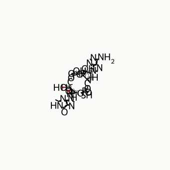 Cc1nc2c(ncn2[C@@H]2O[C@@H]3COP(=O)(O)O[C@H]4[C@@H](O)[C@H](n5cnc6c(N)ncnc65)[C@H]5CC54CO[P@](=O)(S)O[C@@H]2[C@@H]3CO)c(=O)[nH]1